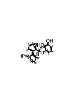 BC(B)(Oc1cccc(O)c1C=O)c1ncccc1-c1ccnn1C(C)C